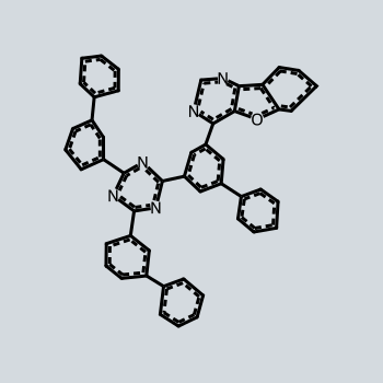 c1ccc(-c2cccc(-c3nc(-c4cccc(-c5ccccc5)c4)nc(-c4cc(-c5ccccc5)cc(-c5ncnc6c5oc5ccccc56)c4)n3)c2)cc1